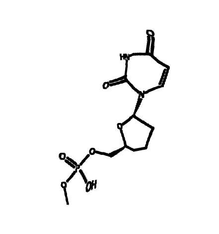 COP(=O)(O)OC[C@@H]1CC[C@H](n2ccc(=O)[nH]c2=O)O1